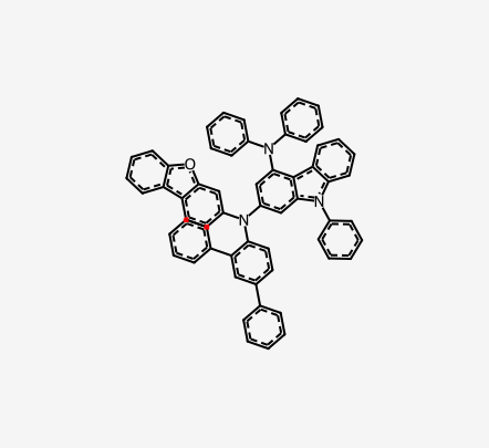 c1ccc(-c2ccc(N(c3ccc4c(c3)oc3ccccc34)c3cc(N(c4ccccc4)c4ccccc4)c4c5ccccc5n(-c5ccccc5)c4c3)c(-c3ccccc3)c2)cc1